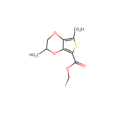 CCOC(=O)c1sc(C(=O)OCI)c2c1OCC(C(=O)O)O2